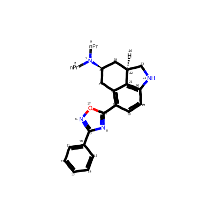 CCCN(CCC)[C@@H]1Cc2c(-c3nc(-c4ccccc4)no3)ccc3c2[C@H](CN3)C1